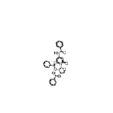 O=C(Nc1ccn([C@@H]2OC[C@H](OC(=O)c3ccccc3)[C@H]2OC(=O)c2ccccc2)c(=O)n1)c1ccccc1